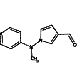 CN(c1ccncc1)n1ccc(C=O)c1